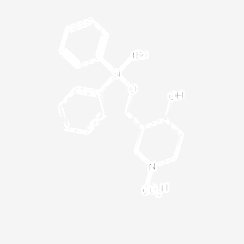 CC(C)(C)[Si](OCC1CN(C(=O)O)CCC1O)(c1ccccc1)c1ccccc1